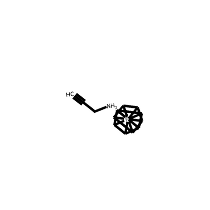 C#CCN.[CH]12[CH]3[CH]4[CH]5[CH]1[Ti]23451678[CH]2[CH]1[CH]6[CH]7[CH]28